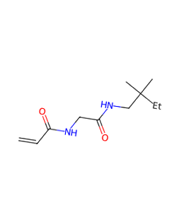 C=CC(=O)NCC(=O)NCC(C)(C)CC